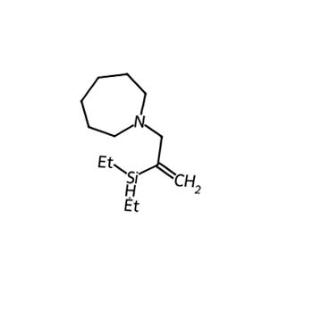 C=C(CN1CCCCCC1)[SiH](CC)CC